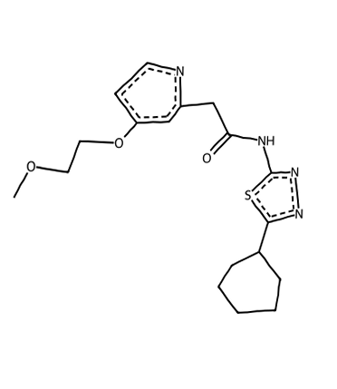 COCCOc1ccnc(CC(=O)Nc2nnc(C3CCCCC3)s2)c1